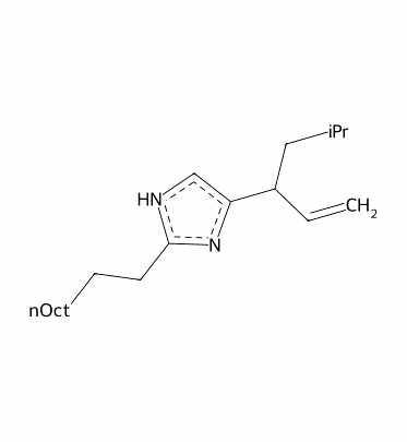 C=CC(CC(C)C)c1c[nH]c(CCCCCCCCCC)n1